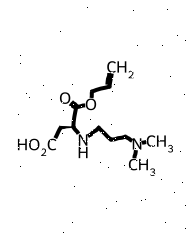 C=CCOC(=O)[C@H](CC(=O)O)NCCCN(C)C